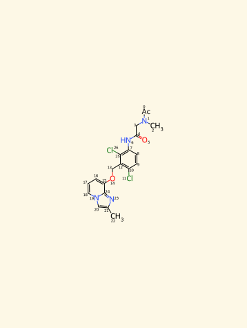 CC(=O)N(C)CC(=O)Nc1ccc(Cl)c(COc2cccn3cc(C)nc23)c1Cl